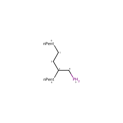 CCCCCCCC(CP)CCCCC